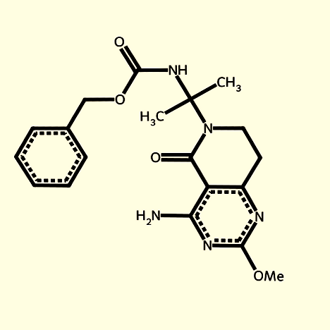 COc1nc(N)c2c(n1)CCN(C(C)(C)NC(=O)OCc1ccccc1)C2=O